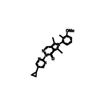 COc1cccc(-n2c(C)c3cnn(-c4ncc(C5CC5)cn4)c(=O)c3c2C)c1C